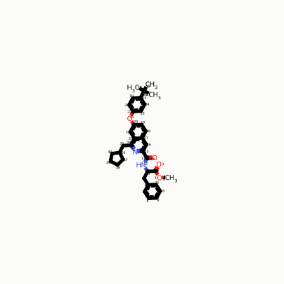 COC(=O)C(Cc1ccccc1)NC(=O)c1cc2ccc(Oc3ccc(C(C)(C)C)cc3)cc2c(CC2CCCC2)n1